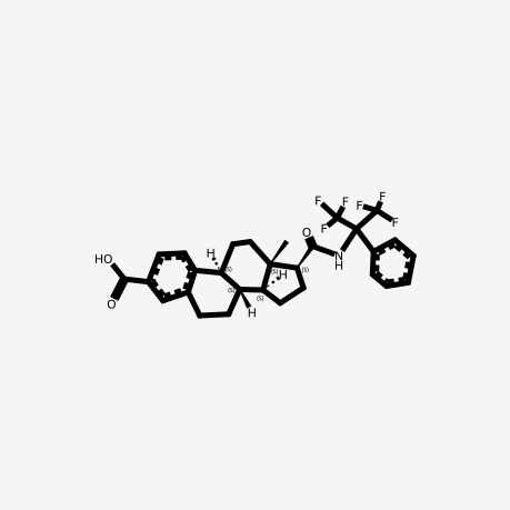 C[C@]12CC[C@@H]3c4ccc(C(=O)O)cc4CC[C@H]3[C@@H]1CC[C@@H]2C(=O)NC(c1ccccc1)(C(F)(F)F)C(F)(F)F